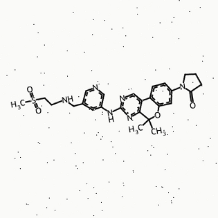 CC1(C)Oc2cc(N3CCCC3=O)ccc2-c2cnc(Nc3cncc(CNCCS(C)(=O)=O)c3)nc21